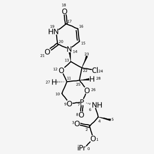 CC(C)OC(=O)[C@H](C)N[P@]1(=O)OC[C@H]2O[C@@H](n3ccc(=O)[nH]c3=O)[C@](C)(Cl)[C@@H]2O1